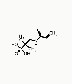 C=CC(=O)NCC(C)(C)P(=O)(O)O